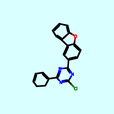 Clc1nc(C2=CC=CCC2)nc(-c2ccc3oc4ccccc4c3c2)n1